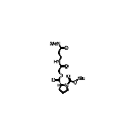 CNC(=O)CCNC(=O)COC(=O)[C@@H]1CCCN1C(=O)OC(C)(C)C